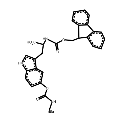 CCCCNC(=O)Oc1ccc2[nH]cc(CC(NC(=O)OCC3c4ccccc4-c4ccccc43)C(=O)O)c2c1